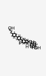 OCCCc1ccc(-c2ccc(-c3nc4cc(O[C@@H]5CO[C@H]6[C@@H]5OC[C@H]6O)[nH]c4cc3F)cc2)cc1